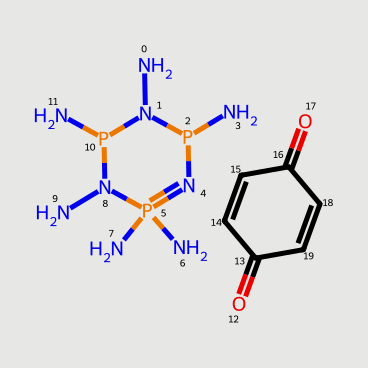 NN1P(N)N=P(N)(N)N(N)P1N.O=C1C=CC(=O)C=C1